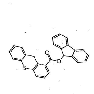 O=C(OC1c2ccccc2-c2ccccc21)c1cccc2c1Cc1ccccc1S2